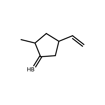 B=C1CC(C=C)CC1C